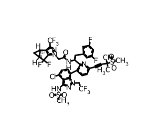 CC(C)(C#Cc1ccc(-c2ccc(Cl)c3c(NS(C)(=O)=O)nn(CC(F)(F)F)c23)c(C(Cc2cc(F)cc(F)c2)NC(=O)Cn2nc(C(F)(F)F)c3c2C(F)(F)[C@@H]2C[C@H]32)n1)S(C)(=O)=O